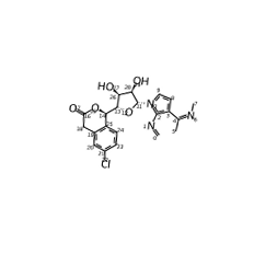 C=Nc1c(/C(C)=N\C)ccn1[C@@H]1O[C@H]([C@@H]2OC(=O)Cc3cc(Cl)ccc32)[C@@H](O)[C@H]1O